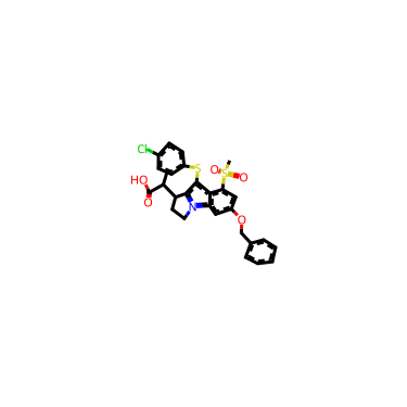 CC(C(=O)O)C1CCn2c1c(Sc1ccc(Cl)cc1)c1c(S(C)(=O)=O)cc(OCc3ccccc3)cc12